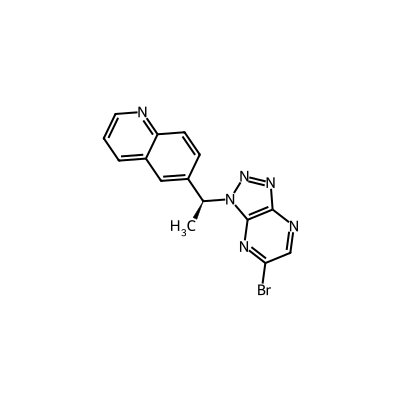 C[C@@H](c1ccc2ncccc2c1)n1nnc2ncc(Br)nc21